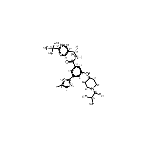 Cc1cnc(-c2cc(OC3CCN(C(F)C(F)F)CC3)cc(C(=O)N[C@@H](C)c3cnc(C(F)(F)F)nc3)c2)s1